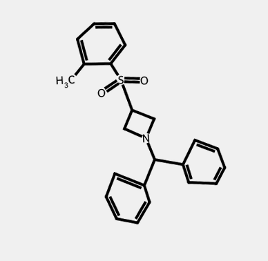 Cc1ccccc1S(=O)(=O)C1CN(C(c2ccccc2)c2ccccc2)C1